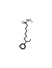 CCC(CCCCCCC(N)=O)c1ccccc1